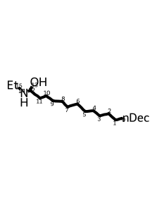 CCCCCCCCCCCCCCCCCCCCCC(O)NCC